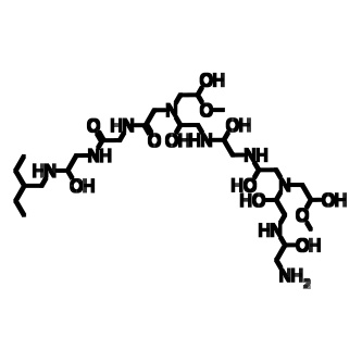 CCC(CC)CNC(O)CNC(=O)CNC(=O)CN(CC(O)OC)C(O)CNC(O)CNC(O)CN(CC(O)OC)C(O)CNC(O)CN